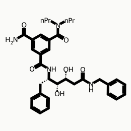 CCCN(CCC)C(=O)c1cc(C(N)=O)cc(C(=O)N[C@@H](Cc2ccccc2)[C@@H](O)[C@H](O)CC(=O)NCc2ccccc2)c1